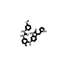 COc1cccc(NC(=O)Nc2ccc(C)c(Nc3ccc4c(c3)NC(=O)/C4=C\c3ccc[nH]3)c2)c1